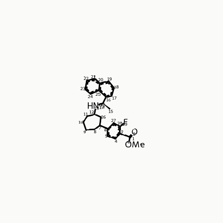 COC(=O)c1ccc(C2CCCCC(N[C@H](C)c3cccc4ccccc34)C2)cc1F